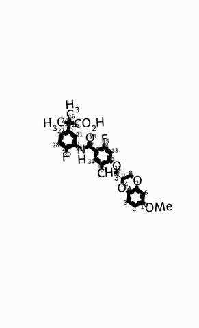 COc1ccc2c(c1)OC[C@@H](COc1cc(F)c(C(=O)Nc3cc(C(C)(C)C(=O)O)ccc3F)cc1C)O2